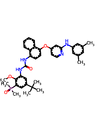 COc1c(NC(=O)Nc2ccc(Oc3ccnc(Nc4cc(C)cc(C)c4)c3)c3ccccc23)cc(C(C)(C)C)cc1P(C)(C)=O